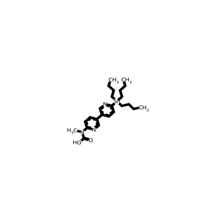 CCC[CH2][Sn]([CH2]CCC)([CH2]CCC)[c]1ccc(-c2ccc(N(C)C(=O)O)nc2)cn1